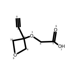 C#CC1(OCC(=O)O)COC1